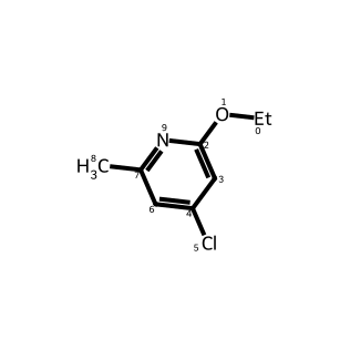 CCOc1cc(Cl)cc(C)n1